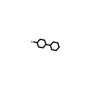 C[CH]C1CCC(C2CCCCC2)CC1